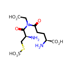 N[C@@H](CCC(=O)N(CC(=O)O)C(=O)[C@@H](N)CSS(=O)(=O)O)C(=O)O